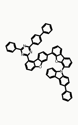 c1ccc(-c2ccc(-c3nc(-c4ccccc4)nc(-c4cccc5oc6cc(-c7cccc8c7oc7c(-n9c%10ccccc%10c%10cc(-c%11ccccc%11)ccc%109)cccc78)ccc6c45)n3)cc2)cc1